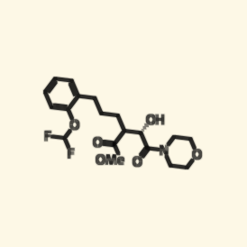 COC(=O)C(CCCc1ccccc1OC(F)F)[C@H](O)C(=O)N1CCOCC1